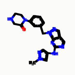 Cn1cc(Nc2ncc3cnn(Cc4cccc(N5CCNCC5=O)c4)c3n2)cn1